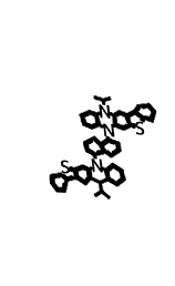 CC(C)C1c2ccccc2N(c2cccc3c(N4c5ccccc5N(C(C)C)c5cc6c(cc54)sc4ccccc46)cccc23)c2cc3sc4ccccc4c3cc21